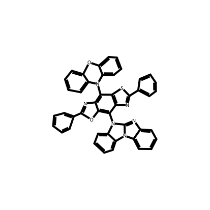 c1ccc(-c2nc3c(N4c5ccccc5Oc5ccccc54)c4sc(-c5ccccc5)nc4c(-n4c5ccccc5n5c6ccccc6nc45)c3o2)cc1